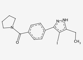 CCc1[nH]nc(-c2ccc(C(=O)N3CCCC3)cc2)c1I